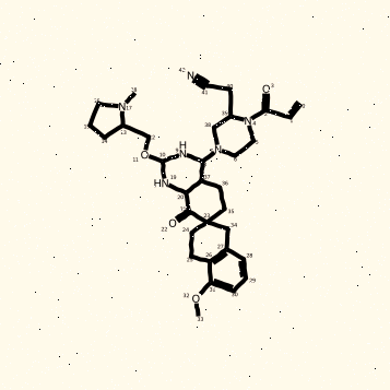 C=CC(=O)N1CCN(C2NC(OCC3CCCN3C)NC3C(=O)C4(CCc5c(cccc5OC)C4)CCC32)CC1CC#N